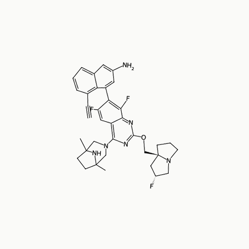 C#Cc1cccc2cc(N)cc(-c3c(F)cc4c(N5CC6(C)CCC(C)(C5)N6)nc(OC[C@@]56CCCN5C[C@H](F)C6)nc4c3F)c12